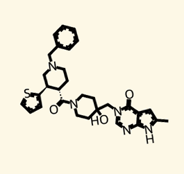 Cc1cc2c(=O)n(CC3(O)CCN(C(=O)[C@H]4CCN(Cc5ccccc5)C[C@@H]4c4cccs4)CC3)cnc2[nH]1